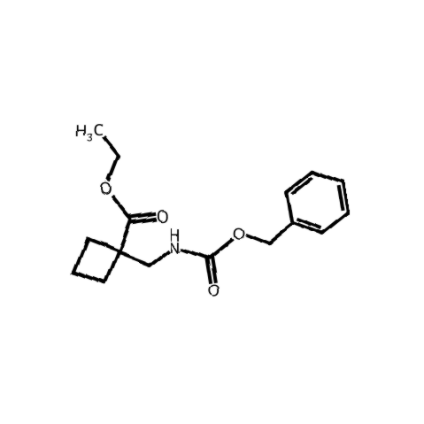 CCOC(=O)C1(CNC(=O)OCc2ccccc2)CCC1